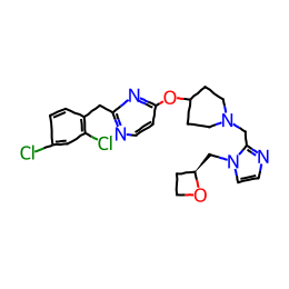 Clc1ccc(Cc2nccc(OC3CCN(Cc4nccn4C[C@@H]4CCO4)CC3)n2)c(Cl)c1